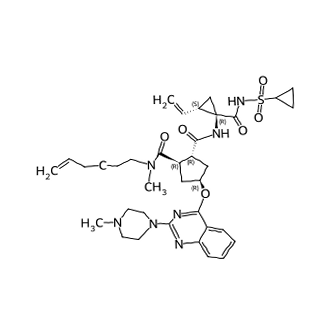 C=CCCCCN(C)C(=O)[C@@H]1C[C@H](Oc2nc(N3CCN(C)CC3)nc3ccccc23)C[C@H]1C(=O)N[C@]1(C(=O)NS(=O)(=O)C2CC2)C[C@H]1C=C